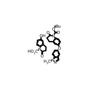 Cn1ncc2cc(Oc3ccc4c(c3)CCC(=O)N4C(=O)OC(C)(C)C)ccc21.O=C(O)N1C(=O)CCc2cc(O)ccc21